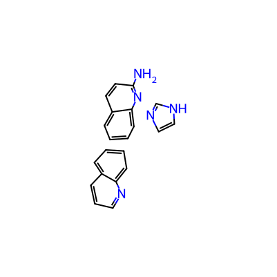 Nc1ccc2ccccc2n1.c1c[nH]cn1.c1ccc2ncccc2c1